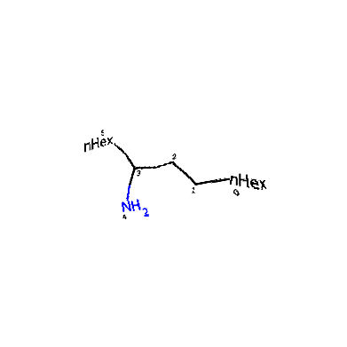 CCCCCCCCC(N)CCCCCC